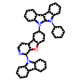 c1ccc(-n2c3ccccc3c3c4ccccc4n(-c4ccc5oc6c(-n7c8ccccc8c8ccccc87)nccc6c5c4)c32)cc1